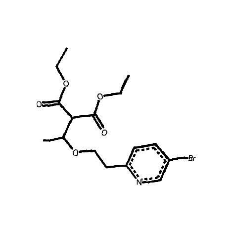 CCOC(=O)C(C(=O)OCC)C(C)OCCc1ccc(Br)cn1